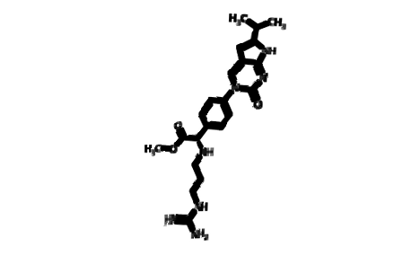 COC(=O)[C@H](NCCCNC(=N)N)c1ccc(-n2cc3cc(C(C)C)[nH]c3nc2=O)cc1